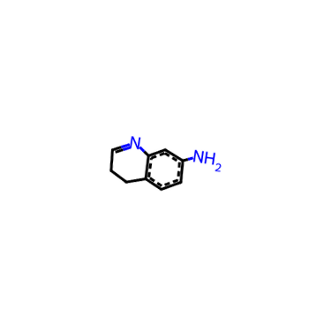 Nc1ccc2c(c1)N=CCC2